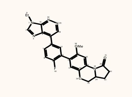 CCn1cnc2c(-c3ccc(F)c(-c4cc5c(cc4OC)N4C(=O)CCC4CO5)c3)cnnc21